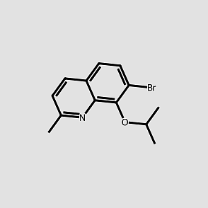 Cc1ccc2ccc(Br)c(OC(C)C)c2n1